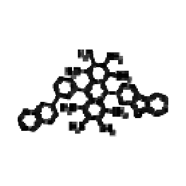 Bc1c(B)c(B)c2c(-c3ccc4c(c3)oc3ccccc34)c3c(B)c(B)c(B)c(B)c3c(-c3cccc(-c4ccc5ccccc5c4)c3)c2c1B